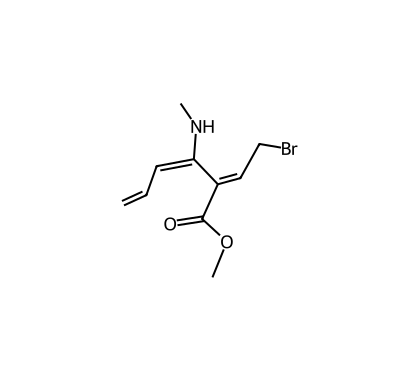 C=C/C=C(NC)\C(=C/CBr)C(=O)OC